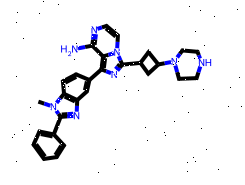 Cn1c(-c2ccccc2)nc2cc(-c3nc(C4CC(N5CCNCC5)C4)n4ccnc(N)c34)ccc21